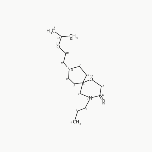 CCCN1CC2(CCN(CCOC(C)C)CC2)OCC1=O